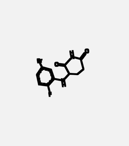 O=C1CCC(Nc2cc(Br)ccc2F)C(=O)N1